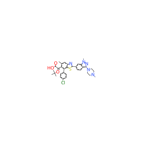 Cc1cc2nc(-c3ccc4c(N5CCN(C)CC5)nn(C)c4c3)sc2c(-c2ccc(Cl)cc2)c1[C@H](OC(C)(C)C)C(=O)O